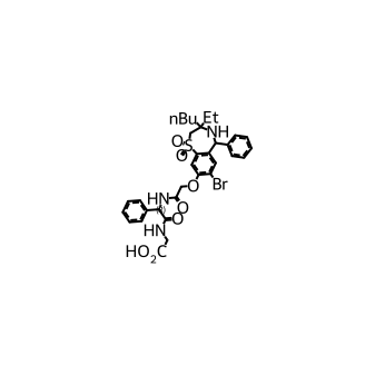 CCCCC1(CC)CS(=O)(=O)c2cc(OCC(=O)N[C@@H](C(=O)NCC(=O)O)c3ccccc3)c(Br)cc2C(c2ccccc2)N1